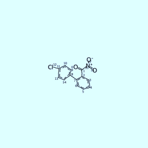 O=C(c1ccccc1-c1ccc(Cl)cc1)[N+](=O)[O-]